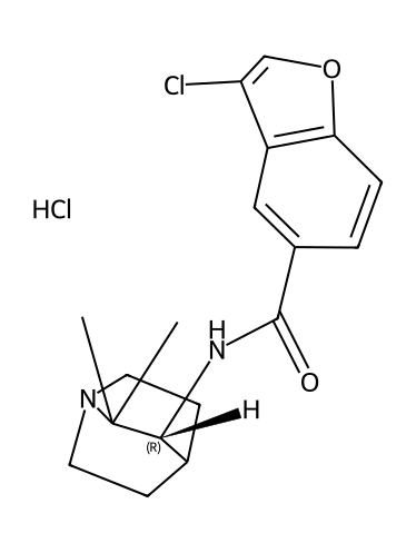 CC1(C)[C@H](NC(=O)c2ccc3occ(Cl)c3c2)C2CCN1CC2.Cl